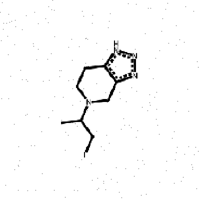 CC(CI)N1CCc2[nH]nnc2C1